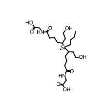 CCCC[Si](C)(C(CCO)CCCC(=O)NCC(=O)O)C(CCO)CCCC(=O)NCC(=O)O